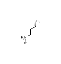 C=CCC[NH2+][O-]